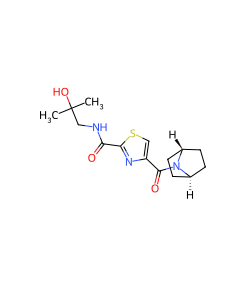 CC(C)(O)CNC(=O)c1nc(C(=O)N2[C@H]3CC[C@H]2CC3)cs1